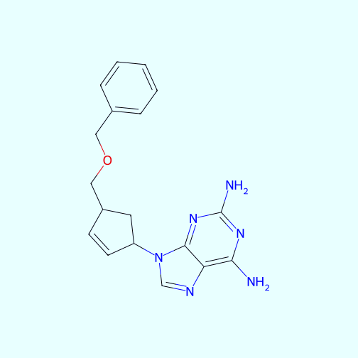 Nc1nc(N)c2ncn(C3C=CC(COCc4ccccc4)C3)c2n1